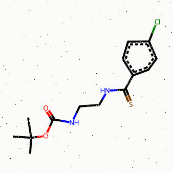 CC(C)(C)OC(=O)NCCNC(=S)c1ccc(Cl)cc1